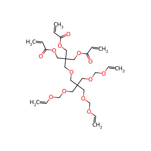 C=COCOCC(COCOC=C)(COCOC=C)COCC(COC(=O)C=C)(COC(=O)C=C)COC(=O)C=C